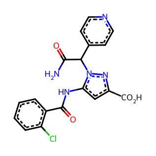 NC(=O)C(c1ccncc1)n1nc(C(=O)O)cc1NC(=O)c1ccccc1Cl